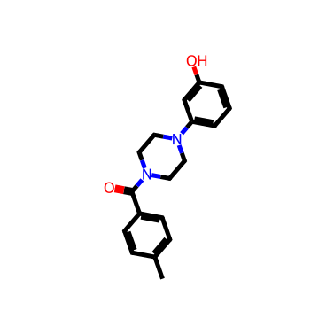 Cc1ccc(C(=O)N2CCN(c3cccc(O)c3)CC2)cc1